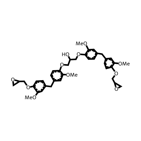 COc1cc(Cc2ccc(OCC3CO3)c(OC)c2)ccc1OCC(O)COc1ccc(Cc2ccc(OCC3CO3)c(OC)c2)cc1OC